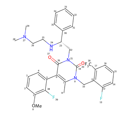 COc1cccc(-c2c(C)n(Cc3c(F)cccc3C(F)(F)F)c(=O)n(C[C@H](NCCN(C)C)c3ccccc3)c2=O)c1F